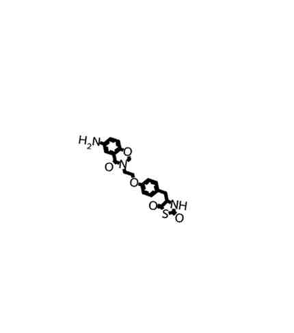 Nc1ccc2c(c1)C(=O)N(CCOc1ccc(CC3NC(=O)SC3=O)cc1)CO2